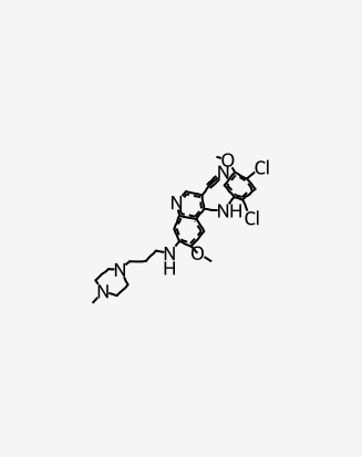 COc1cc(Nc2c(C#N)cnc3cc(NCCCN4CCN(C)CC4)c(OC)cc23)c(Cl)cc1Cl